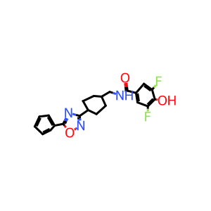 O=C(NCC1CCC(c2noc(-c3ccccc3)n2)CC1)c1cc(F)c(O)c(F)c1